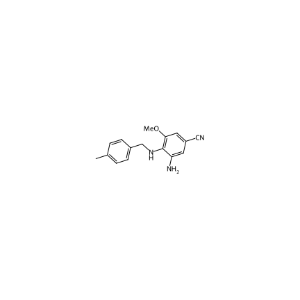 COc1cc(C#N)cc(N)c1NCc1ccc(C)cc1